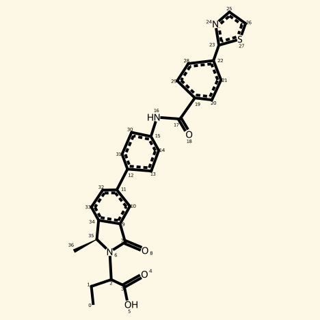 CCC(C(=O)O)N1C(=O)c2cc(-c3ccc(NC(=O)c4ccc(-c5nccs5)cc4)cc3)ccc2[C@@H]1C